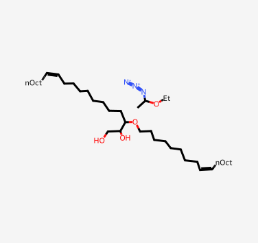 CCCCCCCC/C=C\CCCCCCCCOC(CCCCCCCC/C=C\CCCCCCCC)C(O)CO.CCOC(C)N=[N+]=[N-]